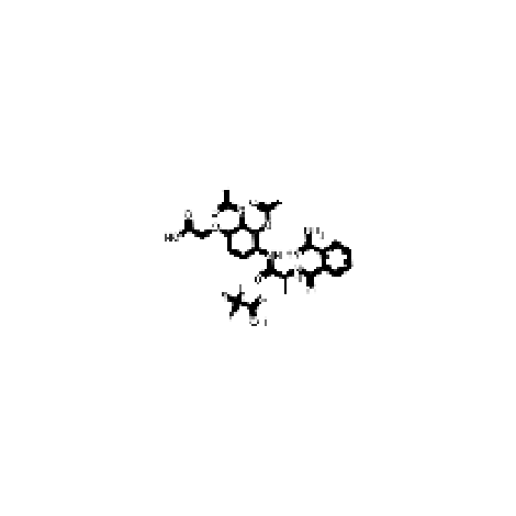 CC(=O)OC1C(NC(=O)[C@H](C)NC(=O)c2ccccc2C(=N)N)CCC(OCC(=O)O)C1OC(C)=O.O=C(O)C(F)(F)F